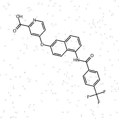 O=C(Nc1cccc2cc(Oc3ccnc(C(=O)O)c3)ccc12)c1ccc(C(F)(F)F)cc1